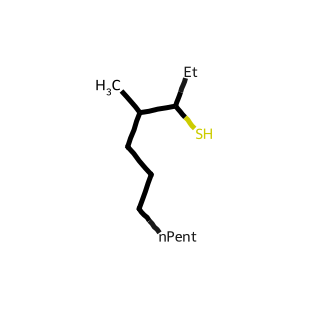 CCCCCCCCC(C)C(S)CC